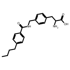 CCCCc1ccc(C(=O)NCc2ccc(CC(N)C(=O)O)cc2)cc1